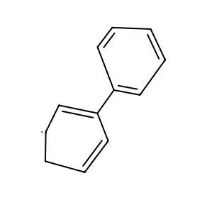 [CH]1C=C(c2ccccc2)C=CC1